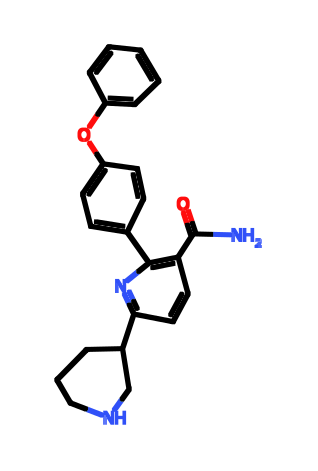 NC(=O)c1ccc(C2CCCNC2)nc1-c1ccc(Oc2ccccc2)cc1